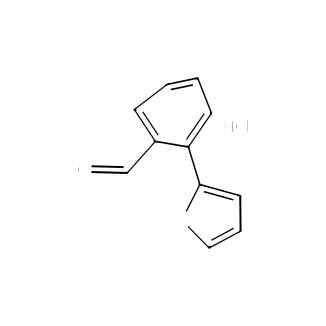 Cl.O=Cc1ccccc1-c1cccs1